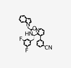 N#Cc1cccc(-c2cccnc2[C@H](Cc2cc(F)cc(F)c2)NC(=O)Cn2ccc3ccccc32)c1